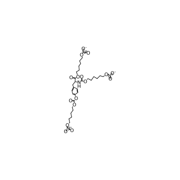 O=C(NC(Cc1ccc(OC(=O)OCCCCCCO[N+](=O)[O-])cc1)C(=O)OCCCCCCO[N+](=O)[O-])OCCCCCCO[N+](=O)[O-]